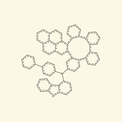 c1ccc(-c2ccc(N(c3ccc4c5ccccc5c5ccccc5c5ccccc5c5c(cc6ccc7cccc8ccc5c6c78)c4c3)c3cccc4oc5ccccc5c34)cc2)cc1